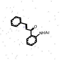 CC(=O)Nc1ccccc1C(=O)/C=C/c1ccccc1